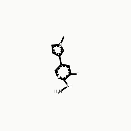 Cn1ccc(-c2cnc(NN)c(F)c2)c1